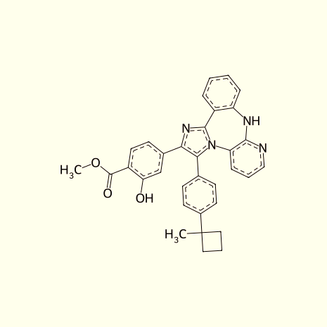 COC(=O)c1ccc(-c2nc3n(c2-c2ccc(C4(C)CCC4)cc2)-c2cccnc2Nc2ccccc2-3)cc1O